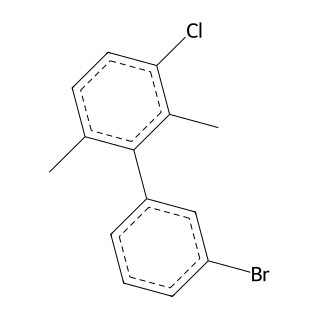 Cc1ccc(Cl)c(C)c1-c1cccc(Br)c1